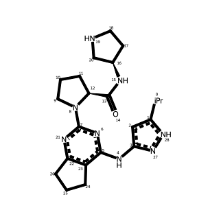 CC(C)c1cc(Nc2nc(N3CCC[C@H]3C(=O)N[C@@H]3CCNC3)nc3c2CCC3)n[nH]1